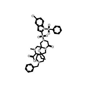 CCOC(C(=O)O)N(C)CC12CN(S(=O)(=O)c3cc4cc(Cl)ccc4n3S(=O)(=O)c3ccccc3)CC(=O)N1CC1(CCN(Cc3ccccc3)CC1)O2